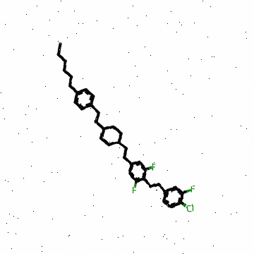 CCCCCCc1ccc(CCC2CCC(CCc3cc(F)c(CCc4ccc(Cl)c(F)c4)c(F)c3)CC2)cc1